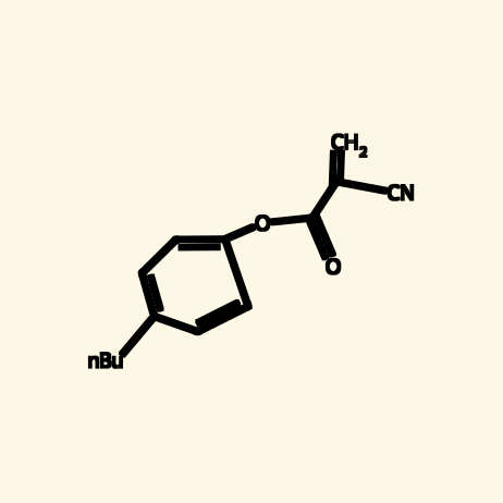 C=C(C#N)C(=O)Oc1ccc(CCCC)cc1